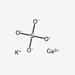 [Ga+3].[K+].[O-][Si]([O-])([O-])[O-]